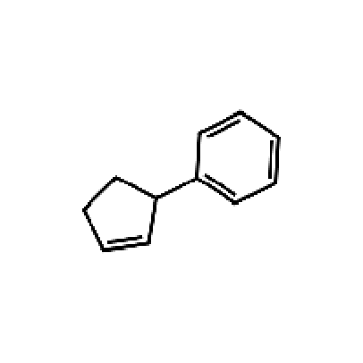 C1=CC(c2ccccc2)CC1